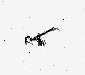 CCCCC/C=C\C/C=C\C/C=C\C/C=C\CCCC(=O)O[C@H](COC(=O)CCCCCCCCCCCCCCCCC)COP(=O)([O-])OCC(O)CO.[Na+]